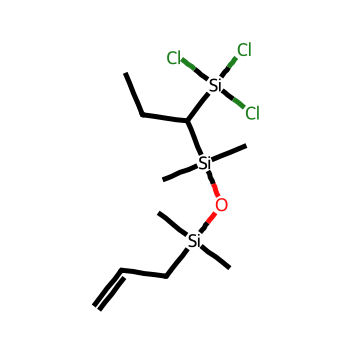 C=CC[Si](C)(C)O[Si](C)(C)C(CC)[Si](Cl)(Cl)Cl